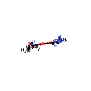 Cc1ncsc1-c1ccc(CNC(=O)[C@@H]2CCCN2C(=O)[C@@H](NC(=O)CCCCCOCCOCCOCCCCCCOc2ccc(F)c([C@@H](C)NC(=O)c3cccc(NCC(=N)N(C)C(=N)c4ccncn4)c3)c2)C(C)(C)C)cc1